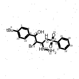 CC(C)(C)c1ccc(C(O)C(Br)C(NN)NS(=O)(=O)c2ccccc2)cc1